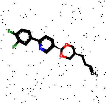 C=CCC[C@H]1CO[C@H](c2ccc(-c3ccc(F)c(F)c3)nc2)OC1